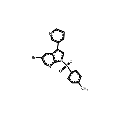 Cc1ccc(S(=O)(=O)n2cc(-c3cccnc3)c3cc(Br)cnc32)cc1